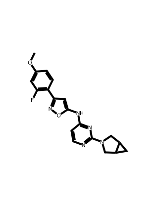 COc1ccc(-c2cc(Nc3ccnc(N4CC5CC5C4)n3)on2)c(F)c1